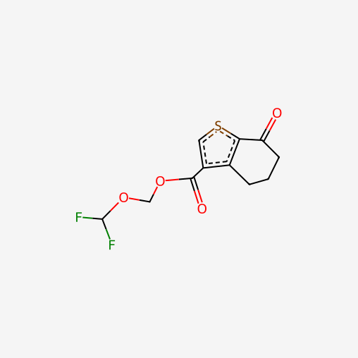 O=C(OCOC(F)F)c1csc2c1CCCC2=O